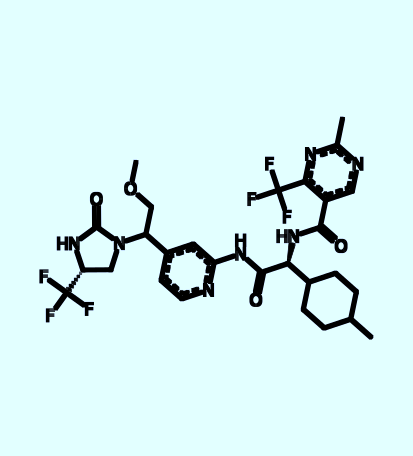 COCC(c1ccnc(NC(=O)[C@@H](NC(=O)c2cnc(C)nc2C(F)(F)F)C2CCC(C)CC2)c1)N1C[C@H](C(F)(F)F)NC1=O